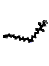 CNC(=O)C(=O)NCCCC/C=C\CCCCCCCCCC#N